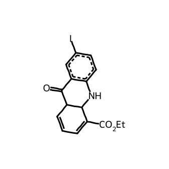 CCOC(=O)C1=CC=CC2C(=O)c3cc(I)ccc3NC12